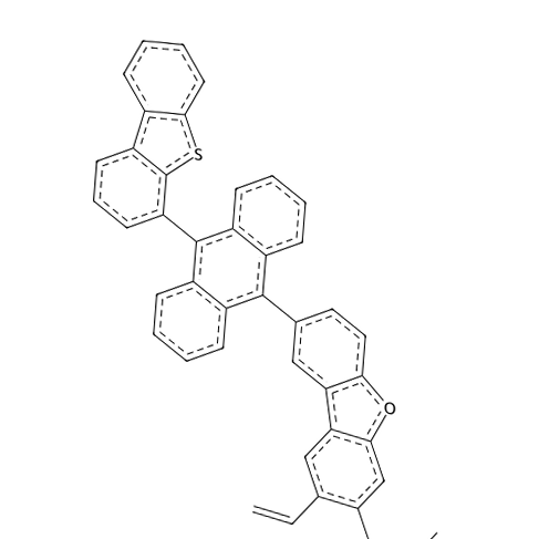 C=Cc1cc2c(cc1/C=C\C)oc1ccc(-c3c4ccccc4c(-c4cccc5c4sc4ccccc45)c4ccccc34)cc12